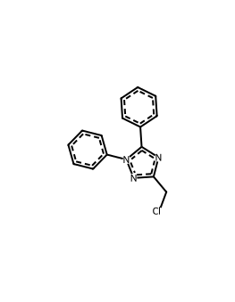 ClCc1nc(-c2ccccc2)n(-c2ccccc2)n1